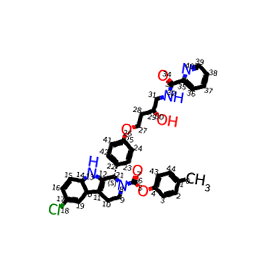 Cc1ccc(OC(=O)N2CCC3=C(NC4C=CC(Cl)=CC34)[C@@H]2c2ccc(OCCC(O)CNC(=O)c3ccccn3)cc2)cc1